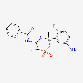 CC1(C)C(NC(=O)c2ccccc2)=N[C@](C)(c2cc(N)ccc2F)CS1(=O)=O